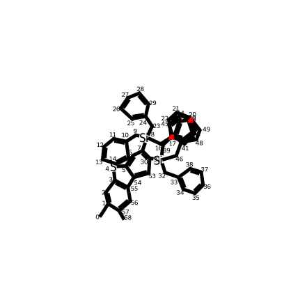 Cc1cc2sc3cc([Si](Cc4ccccc4)(Cc4ccccc4)Cc4ccccc4)c([Si](Cc4ccccc4)(Cc4ccccc4)Cc4ccccc4)cc3c2cc1C